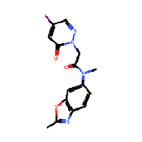 Cc1nc2ccc(N(C)C(=O)Cn3ncc(I)cc3=O)cc2o1